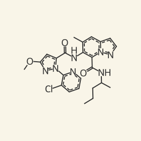 CCCC(C)NC(=O)c1c(NC(=O)c2cc(OC)nn2-c2ncccc2Cl)c(C)cc2ccnn12